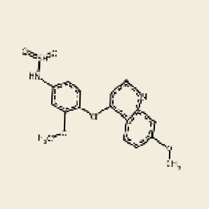 COc1ccc2c(Oc3ccc(N[SH](=O)=O)cc3OC)ccnc2c1